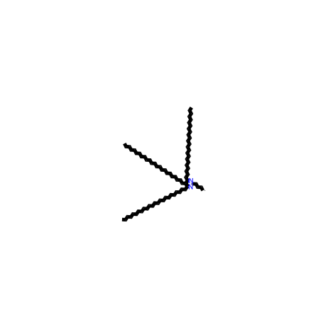 [CH2]CCCc1nc(CCCCCCCCCCCCCCCCCCCCCCCC)c(CCCCCCCCCCCCCCCCCCCCCCCC)c(CCCCCCCCCCCCCCCCCCCCCCCC)n1